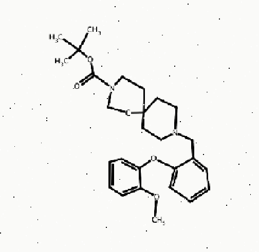 COc1ccccc1Oc1ccccc1CN1CCC2(CC1)CCN(C(=O)OC(C)(C)C)CC2